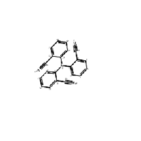 N#Cc1ccccc1N(c1ccccc1C#N)c1ccccc1C#N